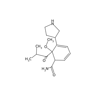 COC1(C(=O)C(C)C)C(C2CCNC2)=CC=CC1C(N)=O